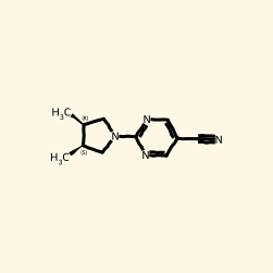 C[C@@H]1CN(c2ncc(C#N)cn2)C[C@@H]1C